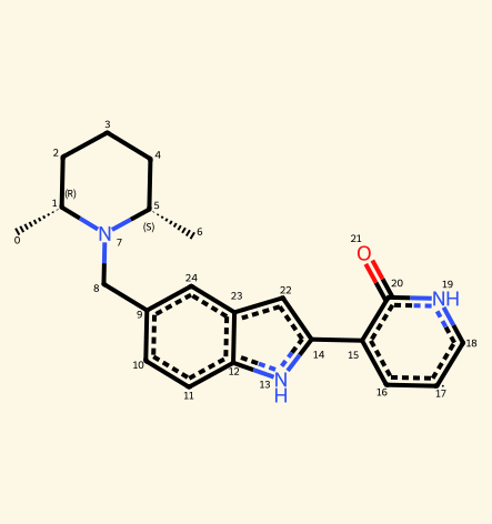 C[C@@H]1CCC[C@H](C)N1Cc1ccc2[nH]c(-c3c[c]c[nH]c3=O)cc2c1